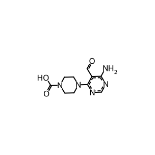 Nc1ncnc(N2CCN(C(=O)O)CC2)c1C=O